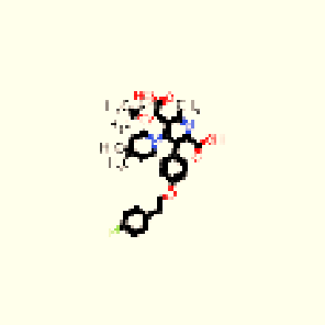 Cc1nc(C(=O)O)c(-c2ccc(OCCc3ccc(F)cc3)cc2)c(N2CCC(C)(C)CC2)c1[C@H](OC(C)(C)C)C(=O)O